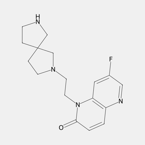 O=c1ccc2ncc(F)cc2n1CCN1CCC2(CCNC2)C1